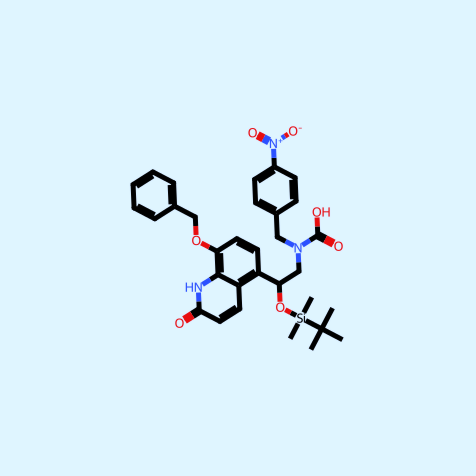 CC(C)(C)[Si](C)(C)OC(CN(Cc1ccc([N+](=O)[O-])cc1)C(=O)O)c1ccc(OCc2ccccc2)c2[nH]c(=O)ccc12